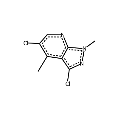 Cc1c(Cl)cnc2c1c(Cl)nn2C